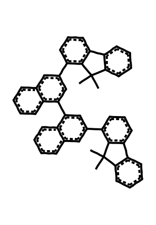 CC1(C)c2ccccc2-c2cccc(-c3cc(-c4cc(-c5cccc6c5C(C)(C)c5ccccc5-6)cc5ccccc45)c4ccccc4c3)c21